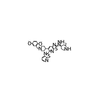 COc1ccc(OC)c(CN2CCC(c3cc4nc(N(N)C5CCNCC5)sc4nc3-c3nc4cccnc4s3)CC2)c1